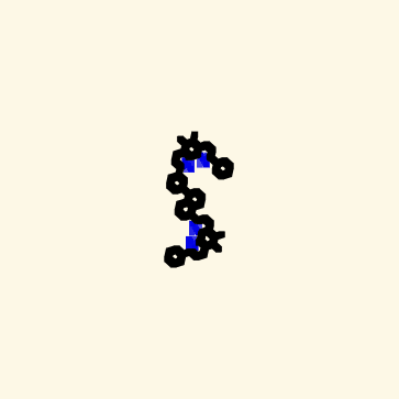 Cc1c(C)c2ccc(-c3cccc(-c4cccc5c(-c6ccc7c(C)c(C)c8ccc(-c9ccccc9)nc8c7n6)cccc45)c3)nc2c2nc(-c3ccccc3)ccc12